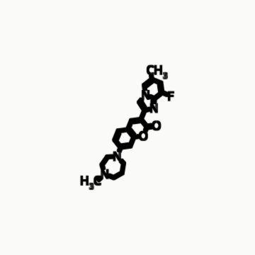 Cc1cc(F)c2nc(-c3cc4ccc(N5CCCN(C)CC5)cc4oc3=O)cn2c1